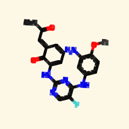 CCOc1ccc(Nc2nc(NC3=CC=CC(=CC(=O)NC)C3=O)ncc2F)cc1N